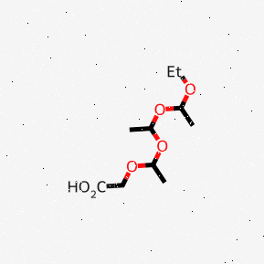 CCOC(C)OC(C)OC(C)OCC(=O)O